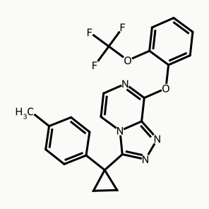 Cc1ccc(C2(c3nnc4c(Oc5ccccc5OC(F)(F)F)nccn34)CC2)cc1